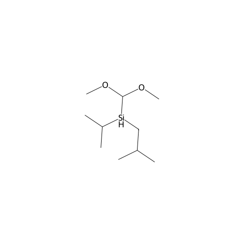 COC(OC)[SiH](CC(C)C)C(C)C